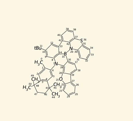 Cc1cc2c(cc1N1c3cc(C(C)(C)C)cc4c3B(c3ccc5c(oc6ccccc65)c31)N1c3ccccc3Sc3cccc-4c31)C(C)(C)CCC2(C)C